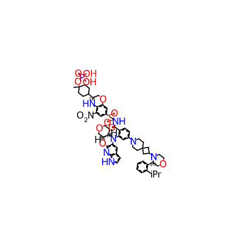 CC(C)c1ccccc1[C@@H]1COCCN1C1CC2(CCN(c3ccc(C(=O)NS(=O)(=O)c4cc5c(c([N+](=O)[O-])c4)N[C@@H](C4CCC(C)(OP(=O)(O)O)CC4)CO5)c(N4c5cc6cc[nH]c6nc5O[C@H]5COCC[C@@H]54)c3)CC2)C1